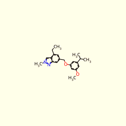 CCc1cc(COc2cc(OC)cc(C(C)C)c2)cc2nn(C)cc12